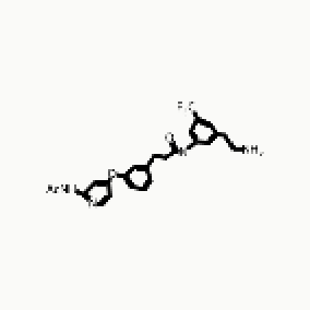 CC(=O)Nc1cc(Oc2cccc(CCC(=O)Nc3cc(CCN)cc(C(F)(F)F)c3)c2)ccn1